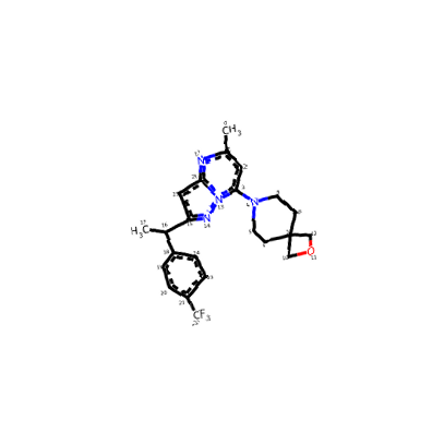 Cc1cc(N2CCC3(CC2)COC3)n2nc(C(C)c3ccc(C(F)(F)F)cc3)cc2n1